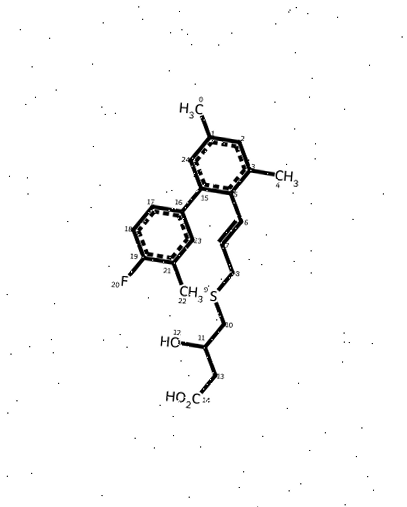 Cc1cc(C)c(C=CCSCC(O)CC(=O)O)c(-c2ccc(F)c(C)c2)c1